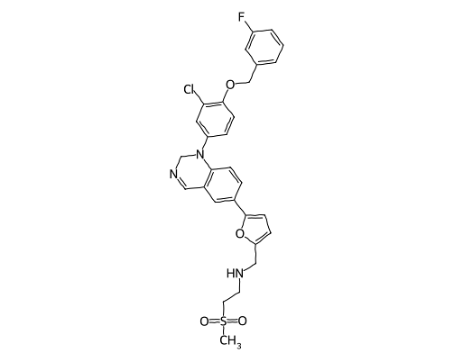 CS(=O)(=O)CCNCc1ccc(-c2ccc3c(c2)C=NCN3c2ccc(OCc3cccc(F)c3)c(Cl)c2)o1